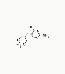 CC1(C)OCC(CN2C=CC(N)=NC2O)CO1